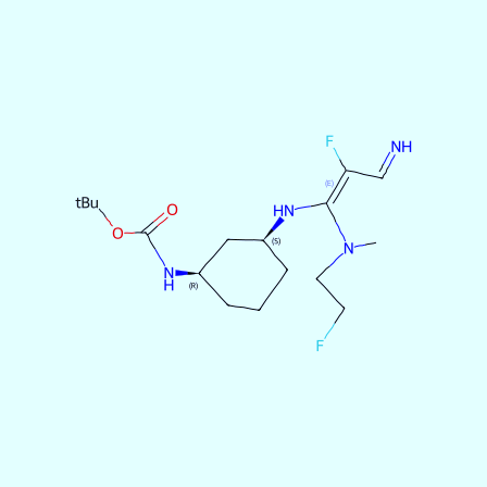 CN(CCF)/C(N[C@H]1CCC[C@@H](NC(=O)OC(C)(C)C)C1)=C(/F)C=N